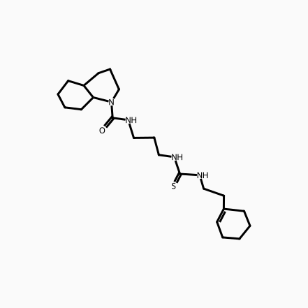 O=C(NCCCNC(=S)NCCC1=CCCCC1)N1CCCC2CCCCC21